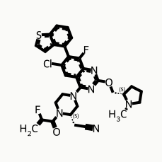 C=C(F)C(=O)N1CCN(c2nc(OC[C@@H]3CCCN3C)nc3c(F)c(-c4cccc5sccc45)c(Cl)cc23)C[C@@H]1CC#N